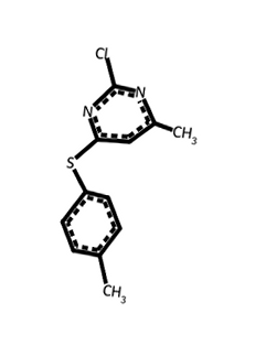 Cc1ccc(Sc2cc(C)nc(Cl)n2)cc1